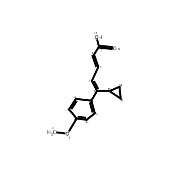 COc1ccc(C(=CC=CC(=O)O)C2CC2)cc1